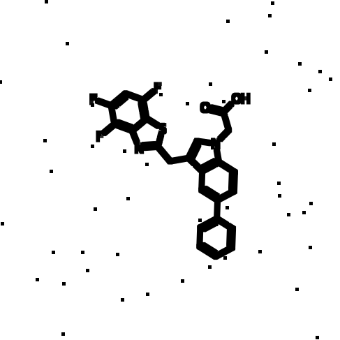 O=C(O)Cn1cc(Cc2nc3c(F)c(F)cc(F)c3s2)c2cc(-c3ccccc3)ccc21